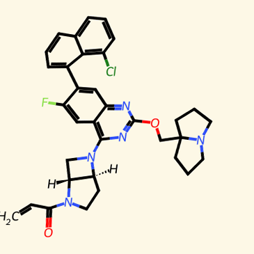 C=CC(=O)N1CC[C@H]2[C@H]1CN2c1nc(OCC23CCCN2CCC3)nc2cc(-c3cccc4cccc(Cl)c34)c(F)cc12